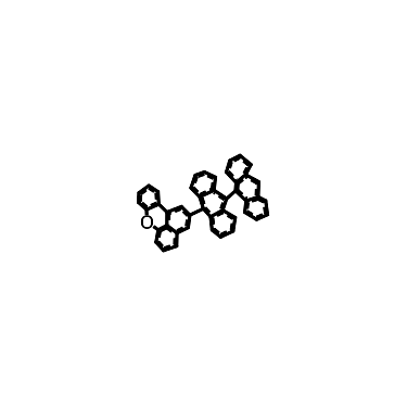 c1ccc2c(c1)Oc1cccc3cc(-c4c5ccccc5c(-c5c6ccccc6cc6ccccc56)c5ccccc45)cc-2c13